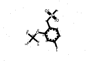 CS(=O)(=O)Cc1ccc(F)cc1OC(F)(F)F